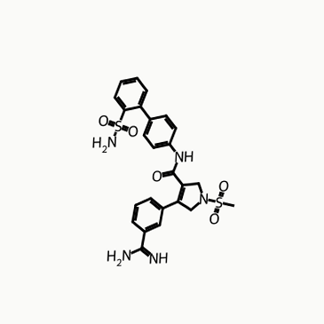 CS(=O)(=O)N1CC(C(=O)Nc2ccc(-c3ccccc3S(N)(=O)=O)cc2)=C(c2cccc(C(=N)N)c2)C1